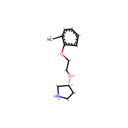 N#Cc1ccccc1OCCO[C@@H]1CCNC1